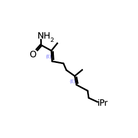 C/C(=C\CCC(C)C)CC/C=C(\C)C(N)=O